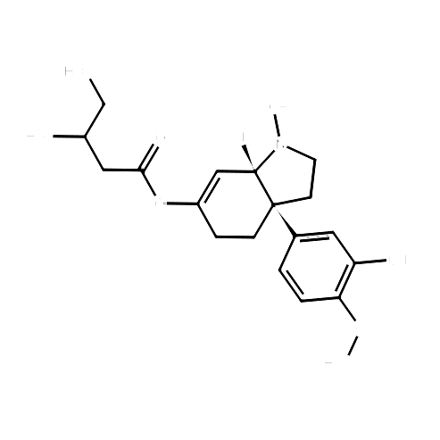 CCC(C)CC(=O)OC1=C[C@@H]2N(C)CC[C@]2(c2ccc(OC)c(C)c2)CC1